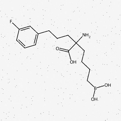 NC(CCCCB(O)O)(CCCc1cccc(F)c1)C(=O)O